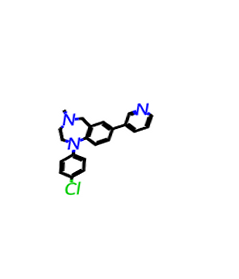 CN1CCN(c2ccc(Cl)cc2)c2ccc(-c3cccnc3)cc2C1